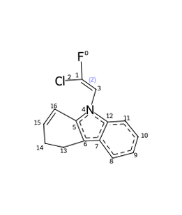 F/C(Cl)=C/n1c2c(c3ccccc31)CCC=C2